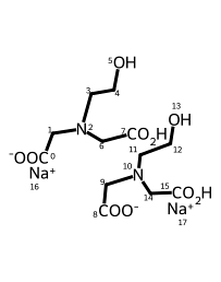 O=C([O-])CN(CCO)CC(=O)O.O=C([O-])CN(CCO)CC(=O)O.[Na+].[Na+]